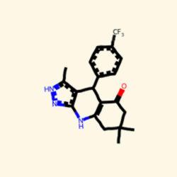 Cc1[nH]nc2c1C(c1ccc(C(F)(F)F)cc1)C1=C(CC(C)(C)CC1=O)N2